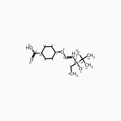 CC[N+]([O-])(/N=N/O[C@H]1CC[C@@H](C(=O)O)CC1)C(C)(C)C